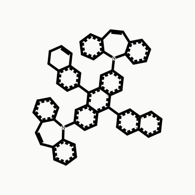 C1=Cc2cc(-c3c4cc(N5c6ccccc6C=Cc6ccccc65)ccc4c(-c4ccc5ccccc5c4)c4ccc(N5c6ccccc6C=Cc6ccccc65)cc34)ccc2CC1